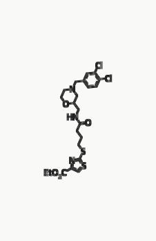 CCOC(=O)c1csc(SCCCC(=O)NCC2CN(Cc3ccc(Cl)c(Cl)c3)CCO2)n1